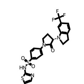 O=C1[C@@H](N2CCc3ccc(C(F)(F)F)cc32)CCN1c1ccc(S(=O)(=O)Nc2nccs2)cc1